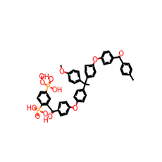 COc1ccc(C(C)(c2ccc(Oc3ccc(C(=O)c4ccc(C)cc4)cc3)cc2)c2ccc(Oc3ccc(C(=O)c4cc(P(=O)(O)OO)ccc4P(=O)(O)O)cc3)cc2)cc1